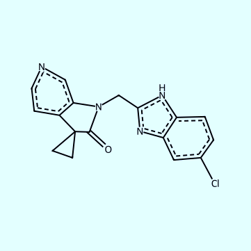 O=C1N(Cc2nc3cc(Cl)ccc3[nH]2)c2cnccc2C12CC2